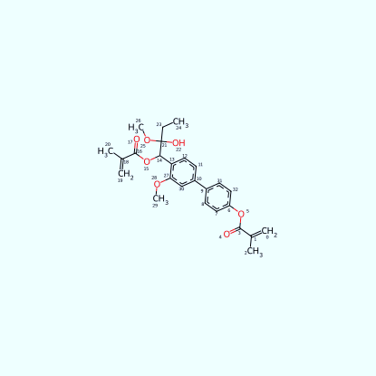 C=C(C)C(=O)Oc1ccc(-c2ccc(C(OC(=O)C(=C)C)C(O)(CC)OC)c(OC)c2)cc1